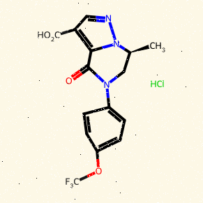 C[C@H]1CN(c2ccc(OC(F)(F)F)cc2)C(=O)c2c(C(=O)O)cnn21.Cl